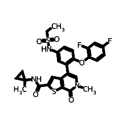 CCS(=O)(=O)Nc1ccc(Oc2ccc(F)cc2F)c(-c2cn(C)c(=O)c3sc(C(=O)NC4(C)CC4)cc23)c1